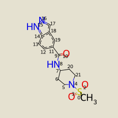 CS(=O)(=O)N1CCC(NC(=O)c2ccc3[nH]ncc3c2)CC1